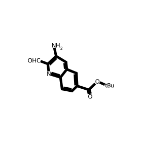 CC(C)(C)OC(=O)c1ccc2nc(C=O)c(N)cc2c1